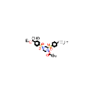 CCOC(=O)c1ccc(S(=O)(=O)C2CN(S(=O)(=O)c3ccc(C(C=O)OCC)cc3)CCN2OC(=O)C(C)(C)C)cc1